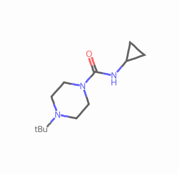 CC(C)(C)N1CCN(C(=O)NC2CC2)CC1